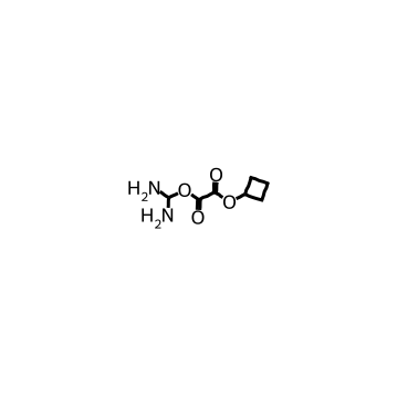 NC(N)OC(=O)C(=O)OC1CCC1